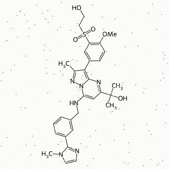 COc1ccc(-c2c(C)nn3c(NCc4cccc(-c5nccn5C)c4)cc(C(C)(C)O)nc23)cc1S(=O)(=O)CCO